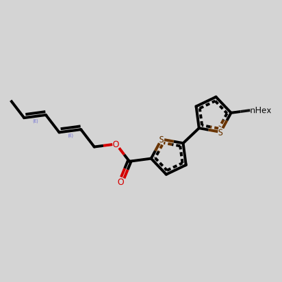 C/C=C/C=C/COC(=O)c1ccc(-c2ccc(CCCCCC)s2)s1